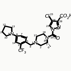 C[C@@H]1CN(Cc2ccc(N3CCCC3)cc2C(F)(F)F)CCN1C(=O)n1cc(Cl)c(C(=O)O)n1